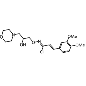 COc1ccc(C=CC(Cl)=NOCC(O)CN2CCOCC2)cc1OC